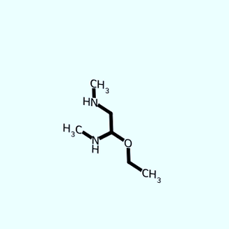 CCOC(CNC)NC